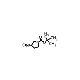 [C-]#[N+][C@@H]1CCN(C(=O)OC(C)(C)C)C1